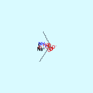 CCCCCCCCCCCCCC(C(=O)[O-])C(CCCCCCCCCCCCC)(C(=O)[O-])S(=O)(=O)O.NCC1CO1.[Na+].[Na+]